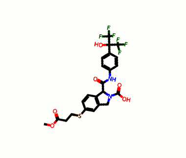 COC(=O)CCSc1ccc2c(c1)CN(C(=O)O)C2C(=O)Nc1ccc(C(O)(C(F)(F)F)C(F)(F)F)cc1